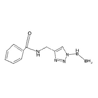 BBn1cc(CNC(=O)c2ccccc2)nn1